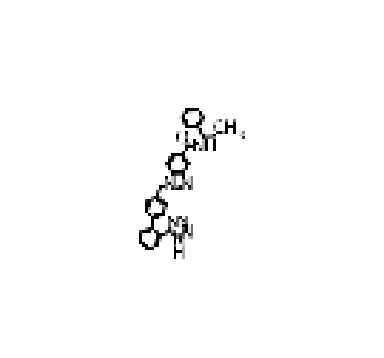 CCC(NC(=O)c1ccc2c(c1)ncn2Cc1ccc(-c2ccccc2-c2nnn[nH]2)cc1)c1ccccc1